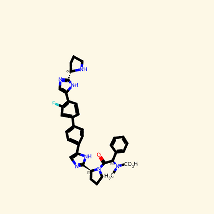 CN(C(=O)O)[C@@H](C(=O)N1CCC[C@H]1c1ncc(-c2ccc(-c3ccc(-c4cnc([C@@H]5CCCN5)[nH]4)c(F)c3)cc2)[nH]1)c1ccccc1